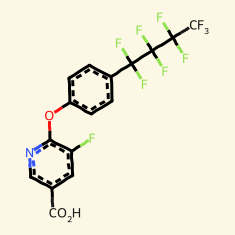 O=C(O)c1cnc(Oc2ccc(C(F)(F)C(F)(F)C(F)(F)C(F)(F)F)cc2)c(F)c1